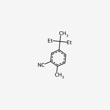 CCC(C)(CC)c1ccc(C)c(C#N)c1